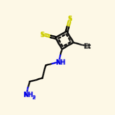 CCc1c(NCCCN)c(=S)c1=S